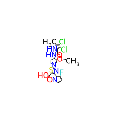 CCCO[C@H]1CN(c2nc(-c3ncccc3F)c(C(=O)O)s2)CC[C@H]1NC(=O)c1[nH]c(C)c(Cl)c1Cl